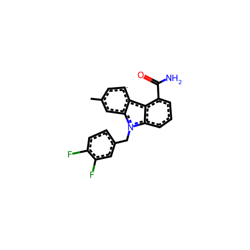 Cc1c[c]c2c3c(C(N)=O)cccc3n(Cc3ccc(F)c(F)c3)c2c1